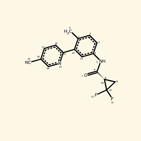 Cc1ccc(NC(=O)[C@@H]2CC2(F)F)cc1-c1ccc(C#N)cn1